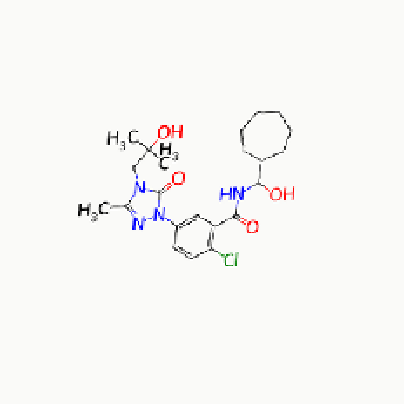 Cc1nn(-c2ccc(Cl)c(C(=O)NC(O)C3CCCCCC3)c2)c(=O)n1CC(C)(C)O